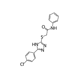 O=C(CSc1nnc(-c2ccc(Cl)cc2)[nH]1)Nc1ccccc1